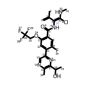 C=C(C)/C(NC(=O)c1cc(F)c(-c2cnc(C)c(C(C)O)n2)cc1OCC(F)(F)F)=C(/Cl)NC